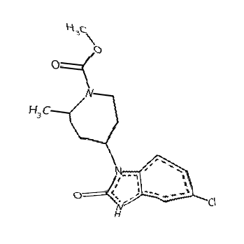 COC(=O)N1CCC(n2c(=O)[nH]c3cc(Cl)ccc32)CC1C